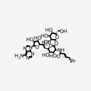 CC(C)C/C=C/C(=O)N[C@@H]1C(O)C(O)[C@@H](C[C@@H](O)C2O[C@@H](n3cnc4c(N)ncnc43)[C@H](O)[C@@H]2O)O[C@H]1O[C@H]1O[C@@H](CO)[C@@H](O)C(O)C1C